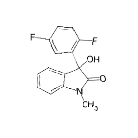 CN1C(=O)C(O)(c2cc(F)ccc2F)c2ccccc21